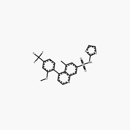 COc1cc(C(F)(F)F)ccc1-c1ccnc2cc(S(=O)(=O)Nc3nccs3)cc(C)c12